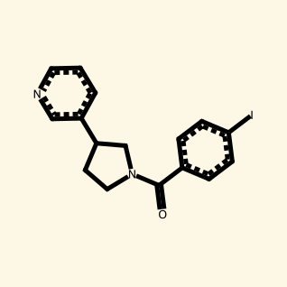 O=C(c1ccc(I)cc1)N1CCC(c2cccnc2)C1